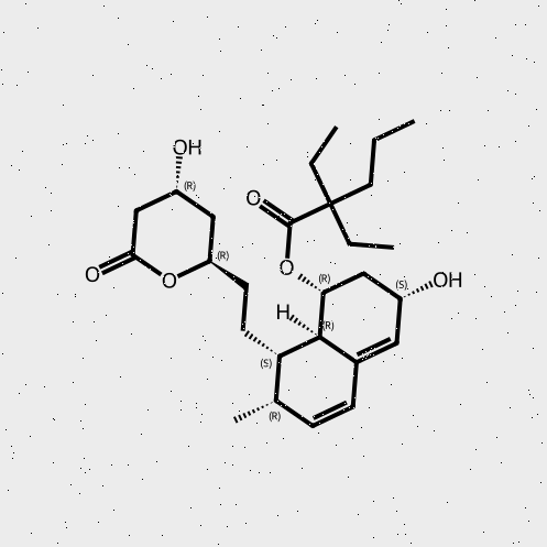 CCCC(CC)(CC)C(=O)O[C@@H]1C[C@H](O)C=C2C=C[C@H](C)[C@H](CC[C@@H]3C[C@@H](O)CC(=O)O3)[C@H]21